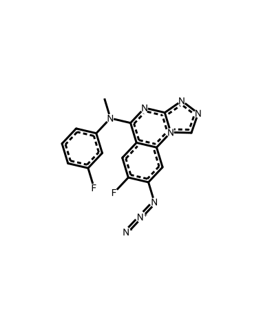 CN(c1cccc(F)c1)c1nc2nncn2c2cc(N=[N+]=[N-])c(F)cc12